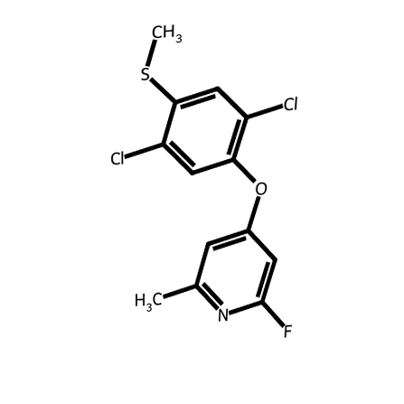 CSc1cc(Cl)c(Oc2cc(C)nc(F)c2)cc1Cl